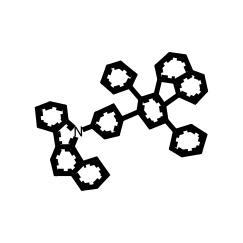 c1ccc(-c2cc(-c3ccc(-n4c5ccccc5c5ccc6ccccc6c54)cc3)c(-c3ccccc3)c3c2-c2cccc4cccc-3c24)cc1